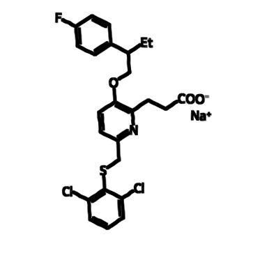 CCC(COc1ccc(CSc2c(Cl)cccc2Cl)nc1CCC(=O)[O-])c1ccc(F)cc1.[Na+]